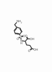 NCc1ccc(S(=O)(=O)NC(CCC(=O)O)C(=O)O)cc1